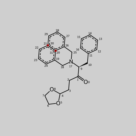 O=C(CCC1OCCO1)[C@H](Cc1ccccc1)N(Cc1ccccc1)Cc1ccccc1